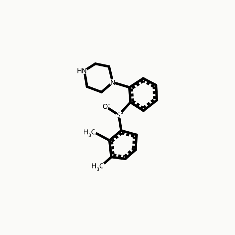 Cc1cccc([S+]([O-])c2ccccc2N2CCNCC2)c1C